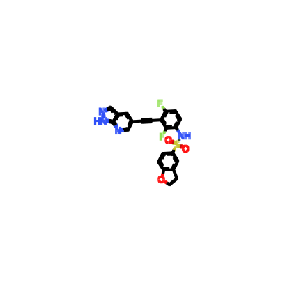 O=S(=O)(Nc1ccc(F)c(C#Cc2cnc3[nH]ncc3c2)c1F)c1ccc2c(c1)CCO2